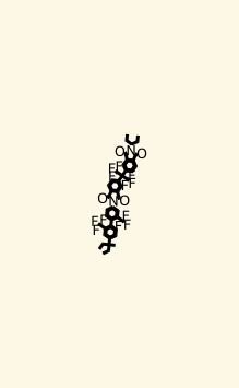 CCC(CC)N1C(=O)c2ccc(C(c3ccc4c(c3)C(=O)N(c3ccc(-c5ccc(C(C)(CC)CC)cc5C(F)(F)F)c(C(F)(F)F)c3)C4=O)(C(F)(F)F)C(F)(F)F)cc2C1=O